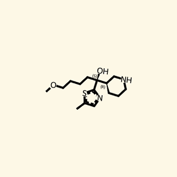 COCCCC[C@@](O)(c1ncc(C)s1)[C@@H]1CCCNC1